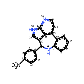 O=[N+]([O-])c1ccc(C2Nc3ccccc3-c3ccnc4[nH]cc2c34)cc1